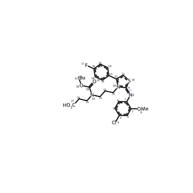 COc1cc(Cl)ccc1/N=c1/scc(-c2ccc(F)cc2)n1CCCN(CCC(=O)O)C(=O)OC(C)(C)C